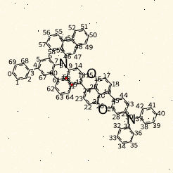 c1ccc(-c2ccc(N(c3ccc4c(c3)Oc3ccc5c6c(ccc-4c36)Oc3cc(N(c4ccccc4)c4ccccc4)ccc3-5)c3cc4ccccc4c4ccccc34)c(-c3ccccc3)c2)cc1